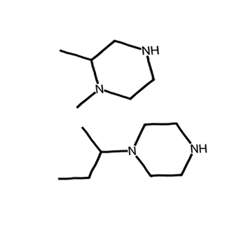 CC1CNCCN1C.CCC(C)N1CCNCC1